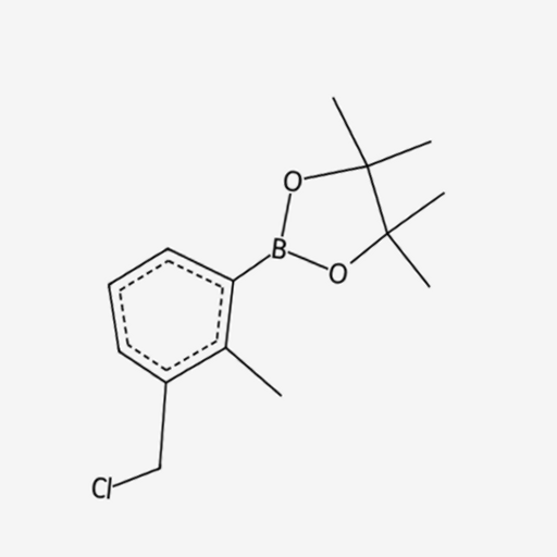 Cc1c(CCl)cccc1B1OC(C)(C)C(C)(C)O1